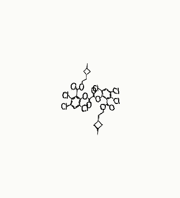 CC1CC(CCOC(=O)c2c(Cl)c(Cl)cc(Cl)c2OC(=O)C(=O)Oc2c(Cl)cc(Cl)c(Cl)c2C(=O)OCCC2CC(C)C2)C1